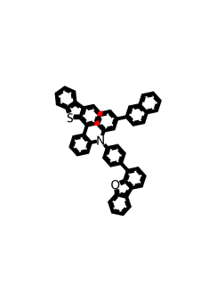 c1cc(-c2ccc3ccccc3c2)cc(N(c2ccc(-c3cccc4c3oc3ccccc34)cc2)c2ccccc2-c2cccc3c2sc2ccccc23)c1